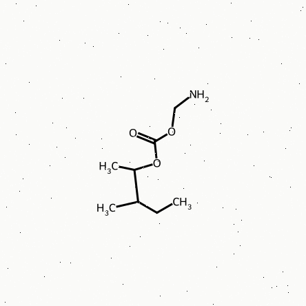 CCC(C)C(C)OC(=O)OCN